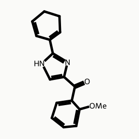 COc1ccccc1C(=O)c1c[nH]c(C2=CCCC=C2)n1